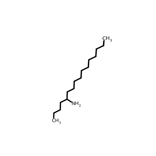 CCCCCCCCCCCC(N)CCCC